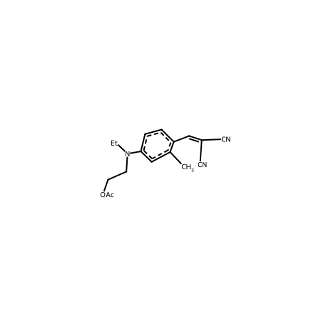 CCN(CCOC(C)=O)c1ccc(C=C(C#N)C#N)c(C)c1